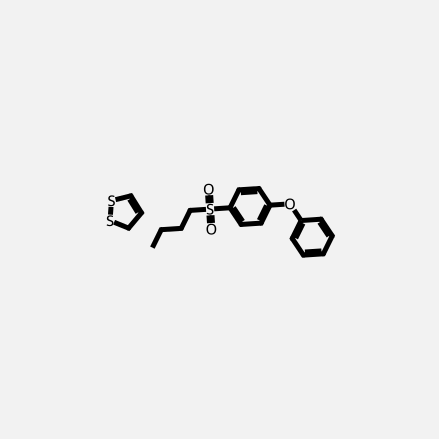 C1=CSSC1.CCCCS(=O)(=O)c1ccc(Oc2ccccc2)cc1